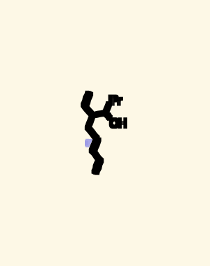 C=C/C=C/CC(C=C)C(O)C(C)C